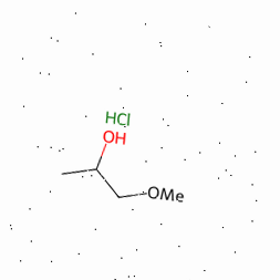 COCC(C)O.Cl